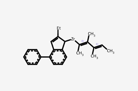 C/C=C(C)/C(C)=[C](\C)[Zr][CH]1C(CC)=Cc2c(-c3ccccc3)cccc21